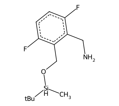 C[SiH](OCc1c(F)ccc(F)c1CN)C(C)(C)C